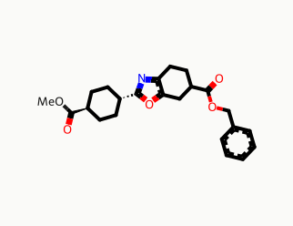 COC(=O)[C@H]1CC[C@H](c2nc3c(o2)CC(C(=O)OCc2ccccc2)CC3)CC1